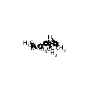 Cc1cc(-c2[nH]c3ccc(C4CCN(Cc5ncn(C)n5)CC4)cc3c2C(C)C)c(F)cn1